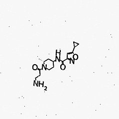 C[C@@H]1CC(NC(=O)c2cc(C3CC3)on2)CCN1C(=O)CCN